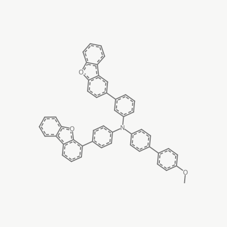 COc1ccc(-c2ccc(N(c3ccc(-c4cccc5c4oc4ccccc45)cc3)c3cccc(-c4ccc5oc6ccccc6c5c4)c3)cc2)cc1